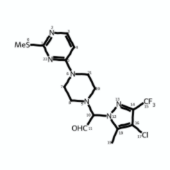 CSc1nccc(N2CCN(C(C=O)n3nc(C(F)(F)F)c(Cl)c3C)CC2)n1